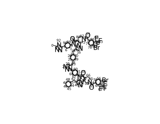 Cc1nnc(-c2ccc(-n3c(=O)c4c(n5ncc(Cc6ccc(Cc7cnnn7-c7ccc(-n8c(=O)c9c(n%10ncc(Cc%11ccccc%11)c8%10)CN(C(=O)c8ccc(Br)c(C(F)(F)F)c8)CC9)cc7)cc6)c35)CN(C(=O)c3ccc(Br)c(C(F)(F)F)c3)CC4)cc2)n1C